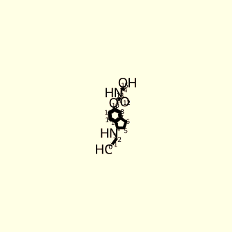 C#CCNC1CCc2cc(OC(=O)NCO)ccc21